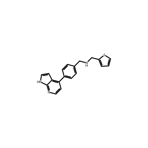 c1csc(CNCc2ccc(-c3ccnc4[nH]ccc34)cc2)c1